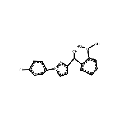 OC(c1ccn(-c2ccc(Cl)cc2)n1)c1ccccc1N(O)O